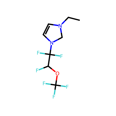 CCN1C=CN(C(F)(F)C(F)OC(F)(F)F)C1